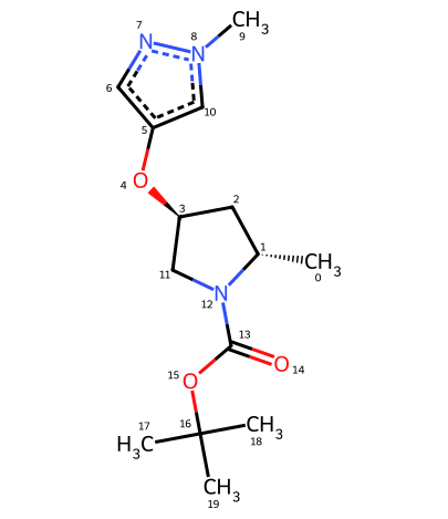 C[C@H]1C[C@H](Oc2cnn(C)c2)CN1C(=O)OC(C)(C)C